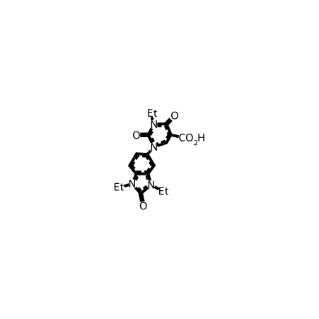 CCn1c(=O)c(C(=O)O)cn(-c2ccc3c(c2)n(CC)c(=O)n3CC)c1=O